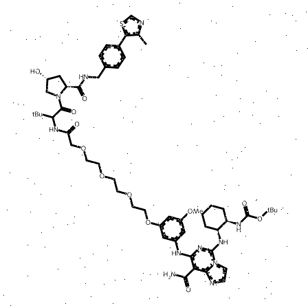 COc1cc(Nc2nc(N[C@H]3CCCC[C@H]3NC(=O)OC(C)(C)C)n3ccnc3c2C(N)=O)cc(OCCOCCOCCOCC(=O)NC(C(=O)N2C[C@H](O)C[C@H]2C(=O)NCc2ccc(-c3scnc3C)cc2)C(C)(C)C)c1